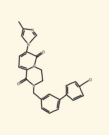 Cc1cn(-c2ccc3n(c2=O)CCN(Cc2cccc(-c4ccc(Cl)cc4)c2)C3=O)cn1